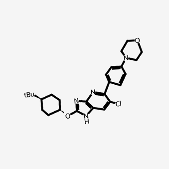 CC(C)(C)[C@H]1CC[C@H](Oc2nc3nc(-c4ccc(N5CCOCC5)cc4)c(Cl)cc3[nH]2)CC1